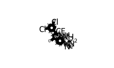 C=C(CC(ON)(c1cc(Cl)cc(Cl)c1)C(F)(F)F)c1ccc(-n2cncn2)c(N)c1